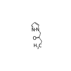 CCC(=O)Cn1cccn1